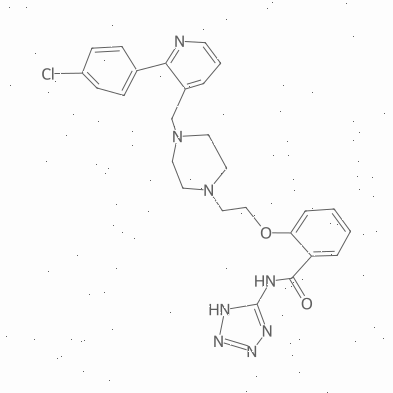 O=C(Nc1nnn[nH]1)c1ccccc1OCCN1CCN(Cc2cccnc2-c2ccc(Cl)cc2)CC1